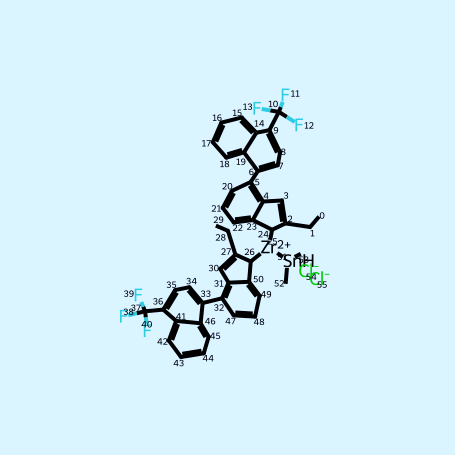 CCC1=Cc2c(-c3ccc(C(F)(F)F)c4ccccc34)cccc2[CH]1[Zr+2]([CH]1C(CC)=Cc2c(-c3ccc(C(F)(F)F)c4ccccc34)cccc21)[SnH]([CH3])[CH3].[Cl-].[Cl-]